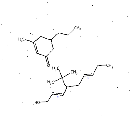 CC/C=C/CC(/C=C/CO)C(C)(C)C.CCCC1CC(=O)C=C(C)C1